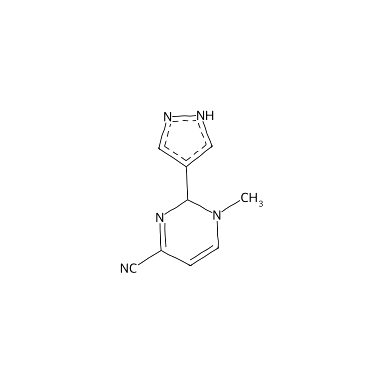 CN1C=CC(C#N)=NC1c1cn[nH]c1